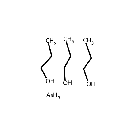 CCCO.CCCO.CCCO.[AsH3]